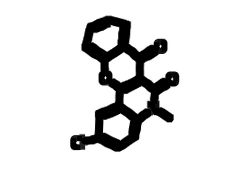 Cn1c(=O)c2c(=O)c3ccccc3oc2c2cc(Cl)ccc21